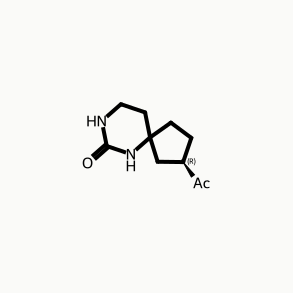 CC(=O)[C@@H]1CCC2(CCNC(=O)N2)C1